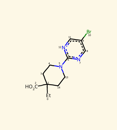 CCC1(C(=O)O)CCN(c2ncc(Br)cn2)CC1